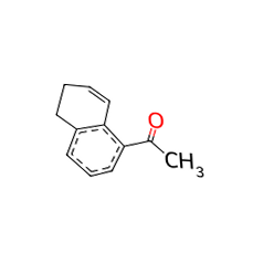 CC(=O)c1cccc2c1C=CCC2